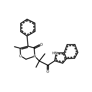 CC1=C(c2ccccc2)C(=O)N(C(C)(C)C(=O)c2cc3ccccc3[nH]2)CO1